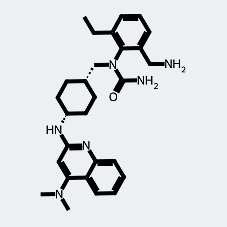 CCc1cccc(CN)c1N(C[C@H]1CC[C@@H](Nc2cc(N(C)C)c3ccccc3n2)CC1)C(N)=O